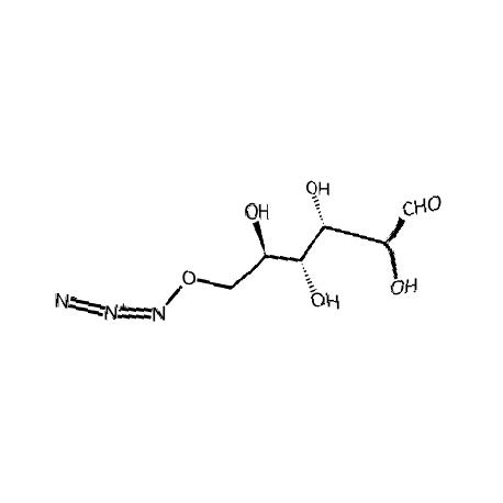 [N-]=[N+]=NOC[C@@H](O)[C@@H](O)[C@H](O)[C@H](O)C=O